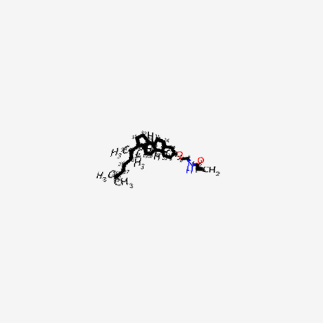 C=CC(=O)NCCO[C@H]1CC[C@@]2(C)C(=CC[C@@H]3[C@@H]2CC[C@]2(C)C([C@H](C)CCCC(C)C)CC[C@@H]32)C1